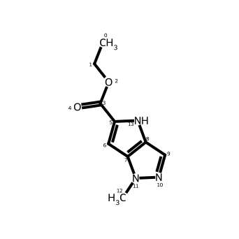 CCOC(=O)c1cc2c(cnn2C)[nH]1